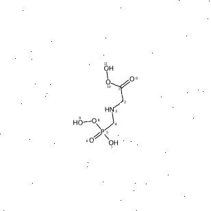 O=C(CNCP(=O)(O)OO)OO